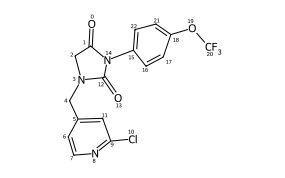 O=C1CN(Cc2ccnc(Cl)c2)C(=O)N1c1ccc(OC(F)(F)F)cc1